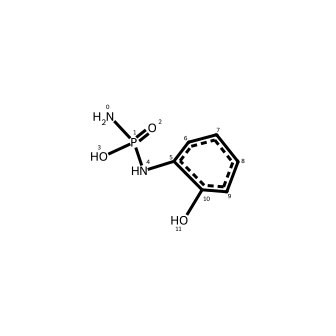 NP(=O)(O)Nc1ccccc1O